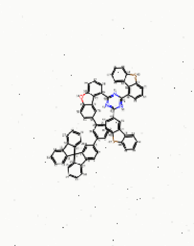 c1cc(-c2ccc3c(c2)C2(c4ccccc4-c4ccccc42)c2ccccc2-3)cc(-c2ccc3oc4cccc(-c5nc(-c6ccc7sc8ccccc8c7c6)nc(-c6cccc7sc8ccccc8c67)n5)c4c3c2)c1